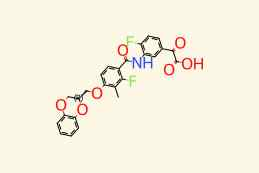 Cc1c(OC[C@@H]2COc3ccccc3O2)ccc(C(=O)Nc2cc(C(=O)C(=O)O)ccc2F)c1F